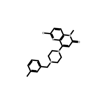 Cc1cccc(CN2CCN(c3cc(=O)n(C)c4ccc(Cl)nc34)CC2)c1